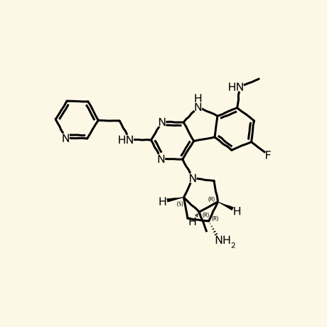 CNc1cc(F)cc2c1[nH]c1nc(NCc3cccnc3)nc(N3C[C@H]4[C@@H](C)[C@@H]3C[C@H]4N)c12